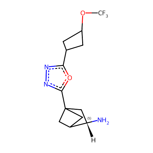 N[C@H]1CC2(c3nnc(C4CC(OC(F)(F)F)C4)o3)CC1C2